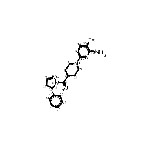 Nc1nc(N2CCC(C(=O)N3N=CC[C@H]3c3ccccc3)CC2)ncc1F